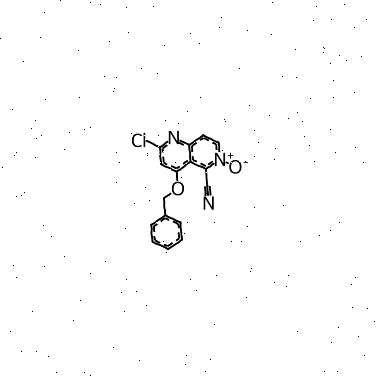 N#Cc1c2c(OCc3ccccc3)cc(Cl)nc2cc[n+]1[O-]